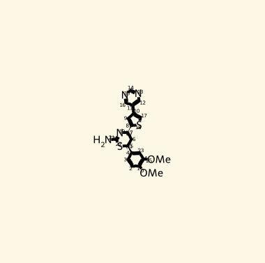 COc1ccc([C@@H]2C[C@@H](c3cc(-c4cncnc4)cs3)N=C(N)S2)cc1OC